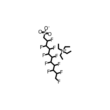 CC[N+](CC)(CC)CC.O=S(=O)([O-])CC(F)C(F)C(F)C(F)C(F)C(F)C(F)C(F)C(F)CF